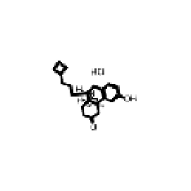 Cl.O=C1CC[C@H]2[C@H]3Cc4ccc(O)cc4[C@@]2(CCN3CCCC2CCC2)C1